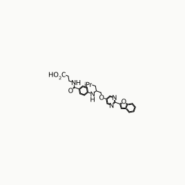 CC(C)CC(COc1cnc(-c2cc3ccccc3o2)nc1)Nc1ccc(C(=O)NCCC(=O)O)cc1